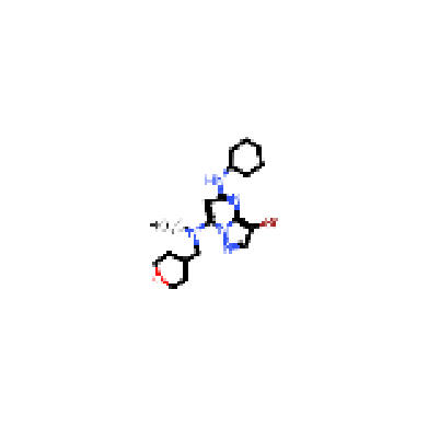 O=C(O)N(CC1CCOCC1)c1cc(NC2CCCCC2)nc2c(Br)cnn12